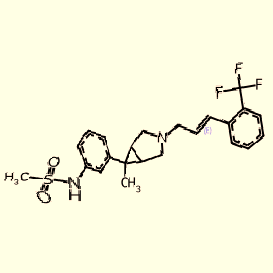 CC1(c2cccc(NS(C)(=O)=O)c2)C2CN(C/C=C/c3ccccc3C(F)(F)F)CC21